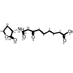 O=C(O)CCCCCC(=O)CC(=O)N[C@H]1CCOC1=O